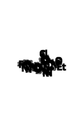 CCC(=O)N1Cc2cc(Cl)ccc2-n2c(nnc2C2CCN(c3ccc(F)nn3)CC2)C1